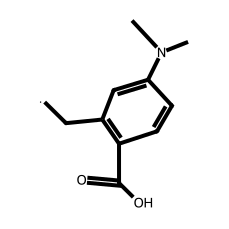 [CH2]Cc1cc(N(C)C)ccc1C(=O)O